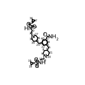 NC(=O)c1cc(CC2CCN(CCNS(=O)(=O)C3CC3)CC2)cc(CC2CCN(CCNS(=O)(=O)C3CC3)CC2)c1